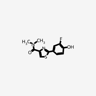 CN(C)C(=O)c1csc(-c2ccc(O)c(F)c2)n1